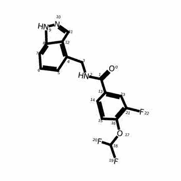 O=C(NCc1cccc2[nH]ncc12)c1ccc(OC(F)F)c(F)c1